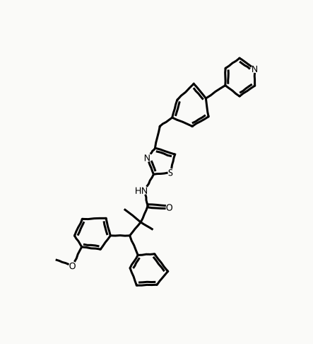 COc1cccc(C(c2ccccc2)C(C)(C)C(=O)Nc2nc(Cc3ccc(-c4ccncc4)cc3)cs2)c1